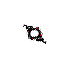 CC(C)C[C@H]1C(=O)O[C@H](Cc2ccc(Cn3nccc3CC3CC3)cc2)C(=O)N(C)[C@@H](CC(C)C)C(=O)O[C@H](C)C(=O)N(C)[C@@H](CC(C)C)C(=O)O[C@H](Cc2ccc(Cn3nccc3CC3CC3)cc2)C(=O)N(C)[C@@H](CC(C)C)C(=O)O[C@H](C)C(=O)N1C